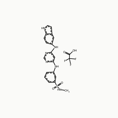 CNS(=O)(=O)c1cccc(Nc2cc(Nc3ccc4[nH]ccc4c3)ncn2)c1.O=C(O)C(F)(F)F